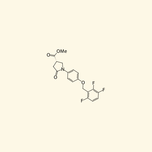 COC(=O)[C@H]1CC(=O)N(c2ccc(OCc3c(F)ccc(F)c3F)cc2)C1